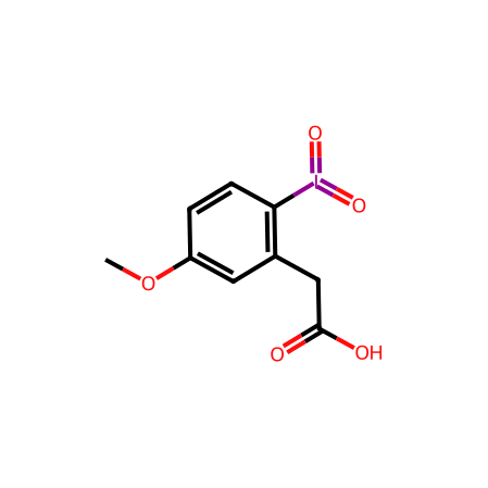 COc1ccc(I(=O)=O)c(CC(=O)O)c1